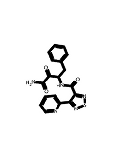 NC(=O)C(=O)C(Cc1ccccc1)NC(=O)c1nsnc1-c1ccccn1